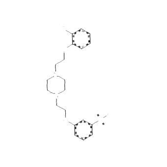 CS(=O)(=O)c1cccc(OCCN2CCN(CCOc3ccccc3F)CC2)c1